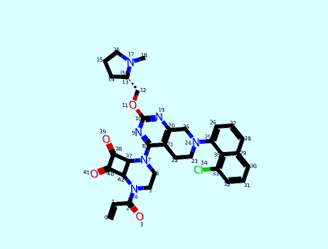 C=CC(=O)N1CCN(c2nc(OC[C@@H]3CCCN3C)nc3c2CCN(c2cccc4cccc(Cl)c24)C3)C2C(=O)C(=O)C21